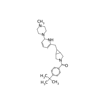 CN1CCN(C2C=C[C]=C(CC3C4CN(C(=O)c5ccc(C(C)(C)C)cc5)CC34)N2)CC1